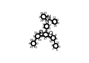 c1ccc(-c2ccc3oc4c(-c5ccc(-n6c(-c7ccccc7)nc7ccccc76)cc5)c5oc6ccc(-c7ccccc7)cc6c5cc4c3c2)cc1